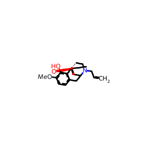 C=CCN1CC[C@@]23CC(=O)CCC2C1Cc1ccc(OC)c(O)c13